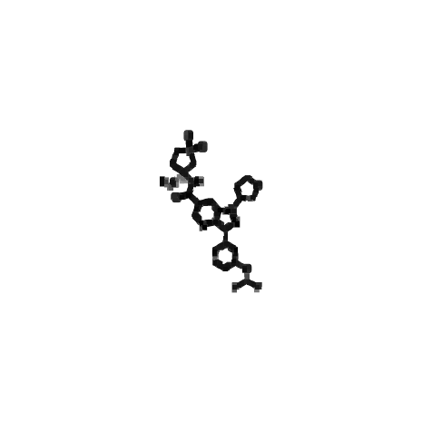 C[C@]1(NC(=O)c2cnc3c(-c4cccc(OC(F)F)c4)nn(C4CCOC4)c3c2)CCS(=O)(=O)C1